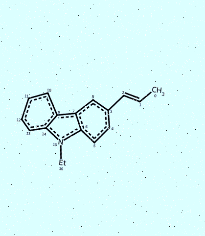 C/C=C/c1ccc2c(c1)c1ccccc1n2CC